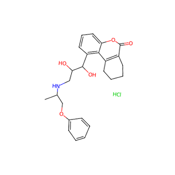 CC(COc1ccccc1)NCC(O)C(O)c1cccc2oc(=O)c3c(c12)CCCC3.Cl